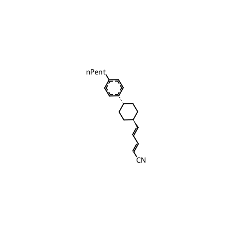 CCCCCc1ccc([C@H]2CC[C@H](/C=C/C=C/C#N)CC2)cc1